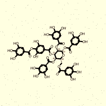 O=C(OC[C@H]1O[C@@H](OC(=O)c2cc(O)c(O)c(O)c2)[C@H](OC(=O)c2cc(O)c(O)c(O)c2)[C@@H](OC(=O)c2cc(O)c(OC(=O)c3cc(O)c(O)c(O)c3)c(O)c2)[C@@H]1OC(=O)c1cc(O)c(O)c(O)c1)c1cc(O)c(O)c(O)c1